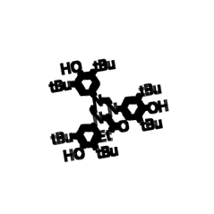 CCC(=O)C1N(c2cc(C(C)(C)C)c(O)c(C(C)(C)C)c2)CN(c2cc(C(C)(C)C)c(O)c(C(C)(C)C)c2)CN1c1cc(C(C)(C)C)c(O)c(C(C)(C)C)c1